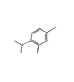 Cc1[c]c(C)c(N(C)C)cc1